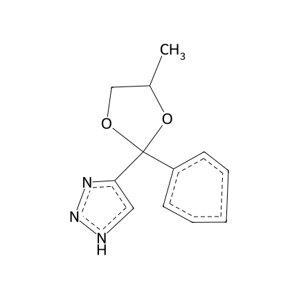 CC1COC(c2ccccc2)(c2c[nH]nn2)O1